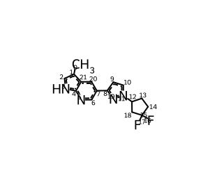 Cc1c[nH]c2ncc(-c3ccn(C4CCC(F)(F)C4)n3)cc12